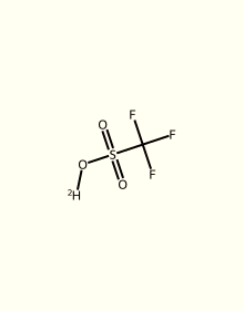 [2H]OS(=O)(=O)C(F)(F)F